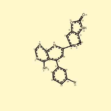 Nc1ncnc2nc(-c3ccc4[nH]c(=O)oc4c3)cc(-c3cccc(Br)c3)c12